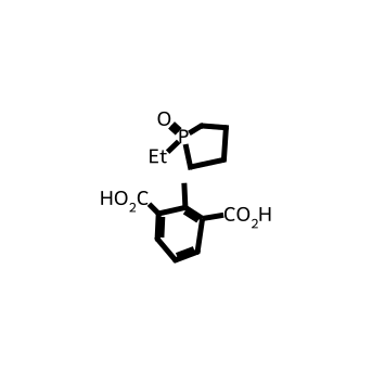 CCP1(=O)CCCC1.Cc1c(C(=O)O)cccc1C(=O)O